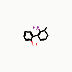 CC1CC=CC(c2ccccc2O)=C1P